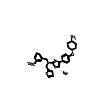 C[C@H]1CC[C@H](Oc2ccc(-c3csc(N(Cc4cccc(C(=O)[O-])c4)Cc4cccs4)n3)cc2)CC1.[Na+]